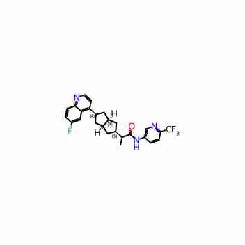 CC(C(=O)Nc1ccc(C(F)(F)F)nc1)[C@H]1C[C@H]2C[C@@H](c3ccnc4ccc(F)cc34)C[C@H]2C1